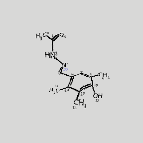 CC(=O)N/N=C/c1cc(C)c(O)c(C)c1C